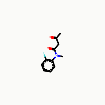 CC(=O)CC(=O)N(C)c1ccccc1F